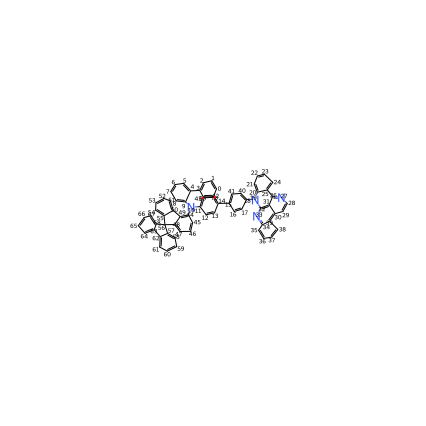 c1ccc(-c2ccccc2N(c2ccc(-c3ccc(N4c5ccccc5-c5nccc6c5c4nc4ccccc46)cc3)cc2)c2cccc3c2-c2ccccc2C32c3ccccc3-c3ccccc32)cc1